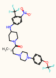 C[C@@H](CN1CCN(c2ccc(OC(F)(F)F)cc2)CC1)C(=O)N1CCC(Nc2ccc([N+](=O)[O-])c(C(F)(F)F)c2)CC1